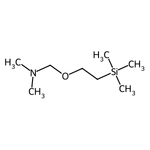 CN(C)COCC[Si](C)(C)C